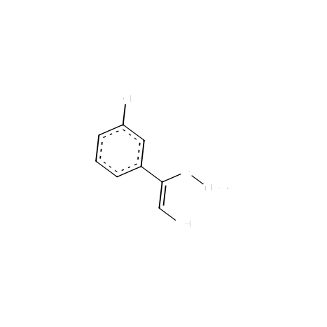 [CH2]CCCCCOC(=CC)c1cccc(C)c1